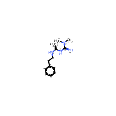 C=C(NCCc1ccccc1)NC(=N)N(C)C